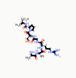 CC(C)[C@H](NC(=O)[C@H](C)N)C(=O)N[C@@H](CCCNC(=N)N)C(=O)NCC(=O)N[C@@H](CO)C(=O)N1CCC[C@H]1C(=O)N[C@@H](C)C(=O)O